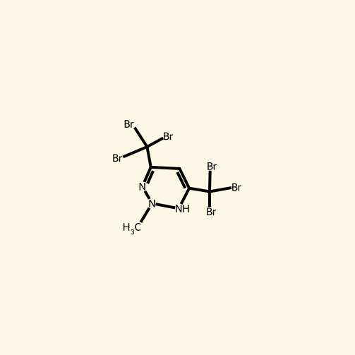 CN1N=C(C(Br)(Br)Br)C=C(C(Br)(Br)Br)N1